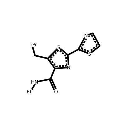 CCNC(=O)c1nc(-c2nccs2)sc1CC(C)C